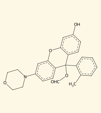 Cc1ccccc1C1(OC=O)c2ccc(O)cc2Oc2cc(N3CCOCC3)ccc21